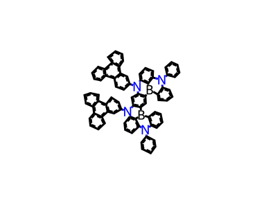 c1ccc(N2c3ccccc3B3c4cc5c(cc4N(c4ccc6c7ccccc7c7ccccc7c6c4)c4cccc2c43)N(c2ccc3c4ccccc4c4ccccc4c3c2)c2cccc3c2B5c2ccccc2N3c2ccccc2)cc1